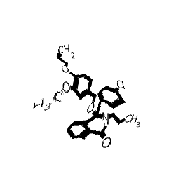 C=CCOc1ccc(COC2(c3ccc(Cl)cc3)c3ccccc3C(=O)N2CCC)cc1OC